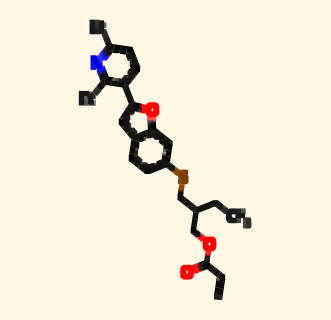 C=CC(=O)OCC(CSc1ccc2cc(-c3ccc(CC)nc3CC)oc2c1)CC(F)(F)F